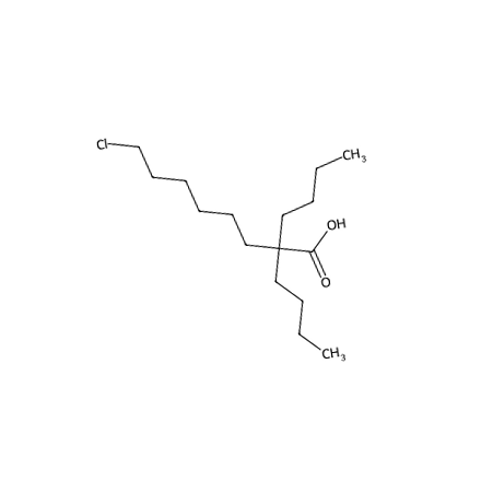 CCCCC(CCCC)(CCCCCCCl)C(=O)O